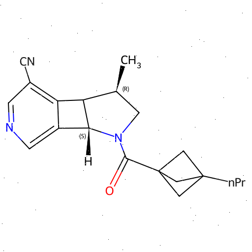 CCCC12CC(C(=O)N3C[C@H](C)C4c5c(C#N)cncc5[C@H]43)(C1)C2